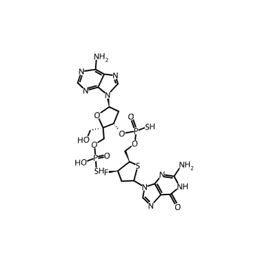 Nc1nc2c(ncn2C2C[C@@H](F)[C@@H](COP(=O)(S)O[C@H]3C[C@H](n4cnc5c(N)ncnc54)O[C@]3(CO)COP(=O)(O)S)S2)c(=O)[nH]1